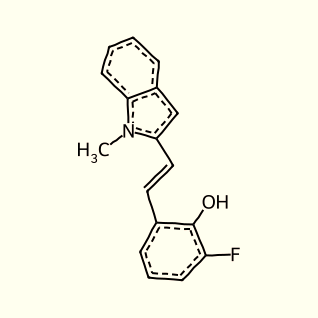 Cn1c(/C=C/c2cccc(F)c2O)cc2ccccc21